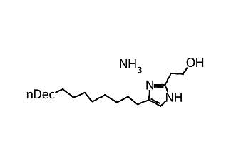 CCCCCCCCCCCCCCCCCCc1c[nH]c(CCO)n1.N